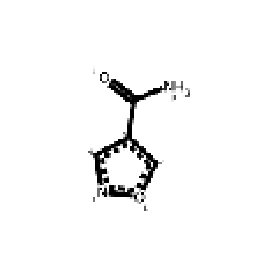 NC(=O)c1cnoc1